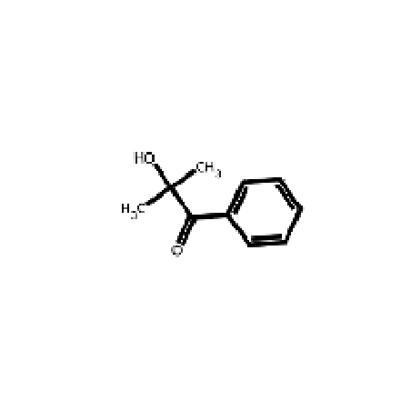 CC(C)(O)C(=O)c1c[c]ccc1